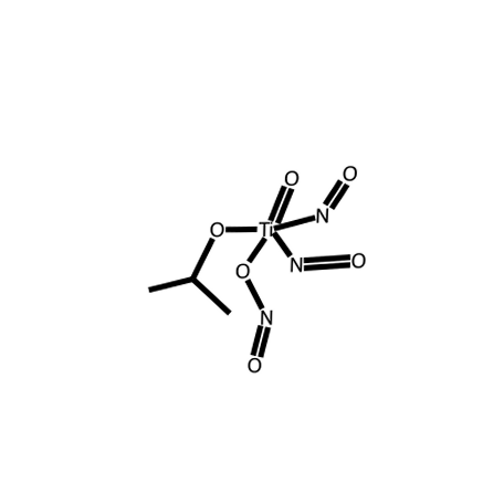 CC(C)[O][Ti](=[O])([N]=O)([N]=O)[O]N=O